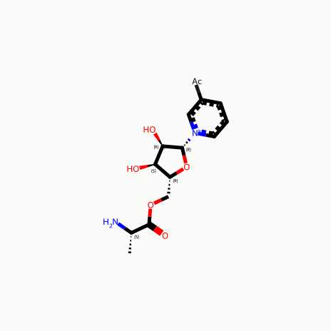 CC(=O)c1ccc[n+]([C@@H]2O[C@H](COC(=O)[C@H](C)N)[C@@H](O)[C@H]2O)c1